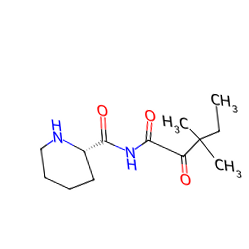 CCC(C)(C)C(=O)C(=O)NC(=O)[C@@H]1CCCCN1